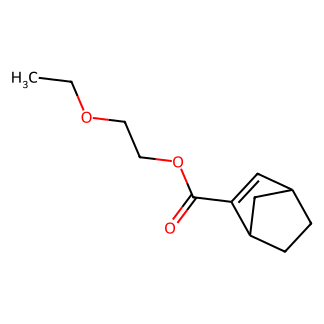 CCOCCOC(=O)C1=CC2CCC1C2